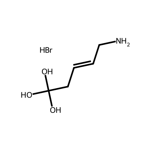 Br.NCC=CCC(O)(O)O